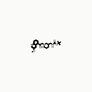 COc1cnc2cccc(C(O)CN3CCCC(CNC(=O)OC(C)(C)C)C3)c2c1